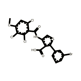 COc1cc(Cl)c(C(=O)Nc2csc(-c3cccc(Br)c3)c2C(=O)O)c(Cl)c1Cl